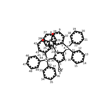 Brc1cc(S(c2ccccc2)(c2ccccc2)c2ccccc2)n(-c2ccccc2)c1S(c1ccccc1)(c1ccccc1)c1ccccc1